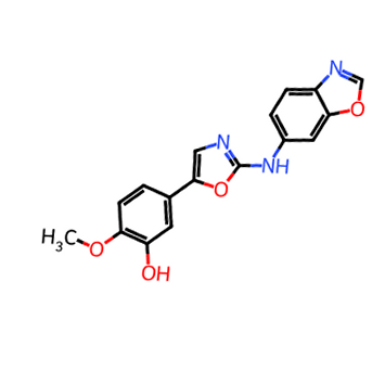 COc1ccc(-c2cnc(Nc3ccc4ncoc4c3)o2)cc1O